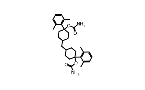 Cc1cccc(C)c1C1(OC(N)=O)CCC(CC2CCC(OC(N)=O)(c3c(C)cccc3C)CC2)CC1